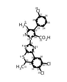 Cc1nn(-c2nc3c(s2)SC(C)c2cc(Cl)c(Cl)cc2-3)c(C(=O)O)c1-c1cccc(Cl)c1